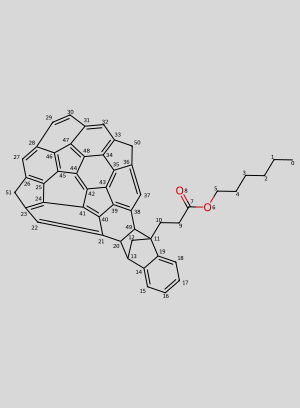 CCCCCCOC(=O)CCC12CC(c3ccccc31)C1c3cc4c5c6c(cc7ccc8cc9c%10c%11c(cc(c%12c3c5c(c%12%11)c3c6c7c8c%103)C12)C9)C4